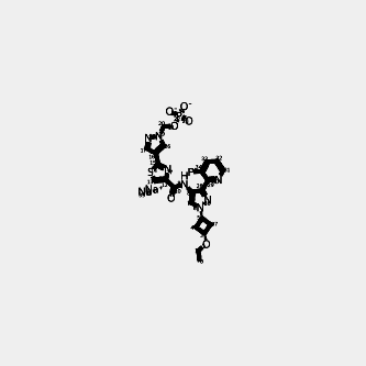 CCO[C@H]1C[C@@H](n2cc(NC(=O)c3csc(-c4cnn(COP(=O)([O-])[O-])c4)n3)c(-c3ncccc3F)n2)C1.[Na+].[Na+]